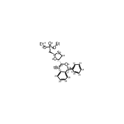 CCOP(=O)(C[C@@H]1O[C@@H](C(O[SiH](c2ccccc2)c2ccccc2)C(C)(C)C)CS1)OCC